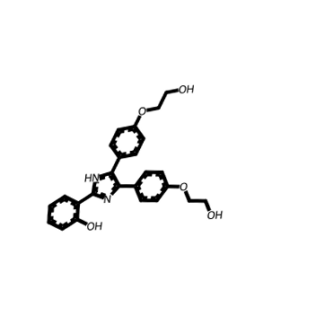 OCCOc1ccc(-c2nc(-c3ccccc3O)[nH]c2-c2ccc(OCCO)cc2)cc1